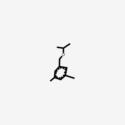 Cc1cc(C)cc(COC(C)C)c1